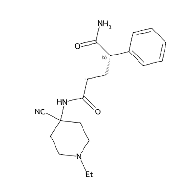 CCN1CCC(C#N)(NC(=O)[CH]C[C@H](C(N)=O)c2ccccc2)CC1